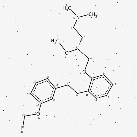 CO[C@H](CCN(C)C)COc1ccccc1CCc1cccc(OCF)c1